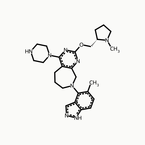 Cc1ccc2[nH]ncc2c1N1CCCc2c(nc(OC[C@@H]3CCCN3C)nc2N2CCNCC2)C1